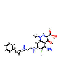 Cn1nc(C(=O)O)c(=O)c2c(N)c(F)c(NCCN[C@@H]3C[C@H]3c3ccccc3)cc21